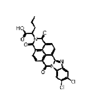 CCCC(C(=O)O)N1C(=O)c2ccc3c(=O)n4c5cc(Cl)c(Cl)cc5nc4c4ccc(c2c34)C1=O